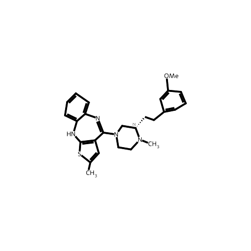 COc1cccc(CC[C@H]2CN(C3=Nc4ccccc4Nc4sc(C)cc43)CCN2C)c1